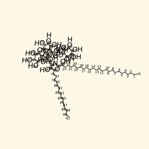 CCCCCCCCCCCCCCCCCCCCCCCCC(O)C(=O)N[C@@H](COP(=O)(O)O[C@H]1C(O)C(O)C(O)[C@@H](O)C1O[C@H]1O[C@H](COP(=O)(O)OC2C(O)C(O)C(O)[C@@H](O)C2O)[C@@H](O)C(O)C1O)[C@H](O)CCCCCCCCCCCCCCCCC